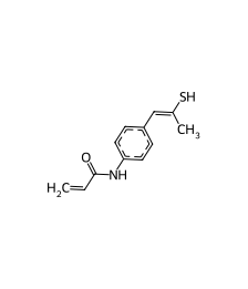 C=CC(=O)Nc1ccc(/C=C(\C)S)cc1